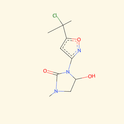 CN1CC(O)N(c2cc(C(C)(C)Cl)on2)C1=O